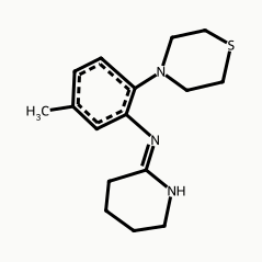 Cc1ccc(N2CCSCC2)c(N=C2CCCCN2)c1